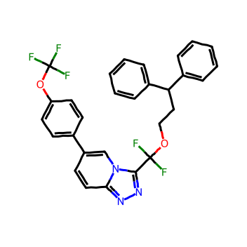 FC(F)(F)Oc1ccc(-c2ccc3nnc(C(F)(F)OCCC(c4ccccc4)c4ccccc4)n3c2)cc1